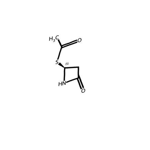 CC(=O)S[C@H]1CC(=O)N1